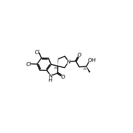 C[C@H](O)CC(=O)N1CC[C@]2(C1)C(=O)Nc1cc(Cl)c(Cl)cc12